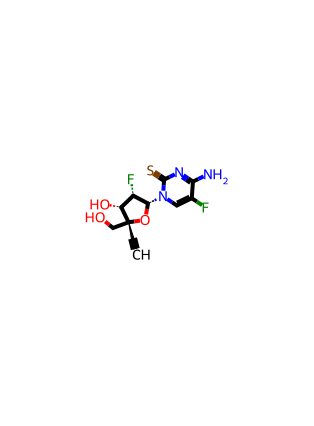 C#C[C@]1(CO)O[C@@H](n2cc(F)c(N)nc2=S)[C@@H](F)[C@H]1O